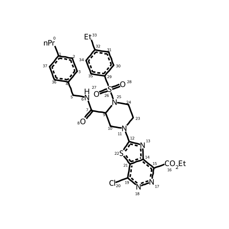 CCCc1ccc(CNC(=O)C2CN(c3nc4c(C(=O)OCC)nnc(Cl)c4s3)CCN2S(=O)(=O)c2ccc(CC)cc2)cc1